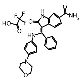 NC(=O)c1ccc2c(c1)NC(=O)/C2=C(\Nc1ccc(N2CCOCC2)cc1)c1ccccc1.O=C(O)C(F)(F)F